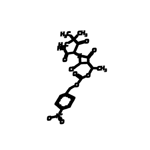 CC(OC(=O)OCc1ccc([N+](=O)[O-])cc1)C1C(=O)N(C(C(=O)O)C(=O)C(C)(C)C)C1Cl